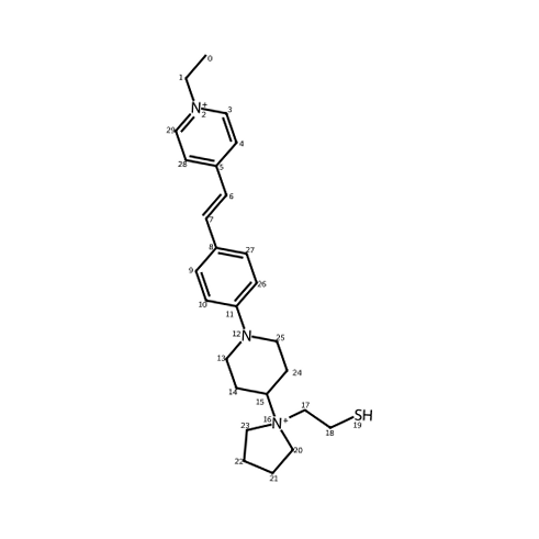 CC[n+]1ccc(/C=C/c2ccc(N3CCC([N+]4(CCS)CCCC4)CC3)cc2)cc1